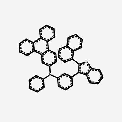 c1ccc(N(c2cccc(-c3c(-c4cccc5ccccc45)oc4ccccc34)c2)c2ccc3c4ccccc4c4ccccc4c3c2)cc1